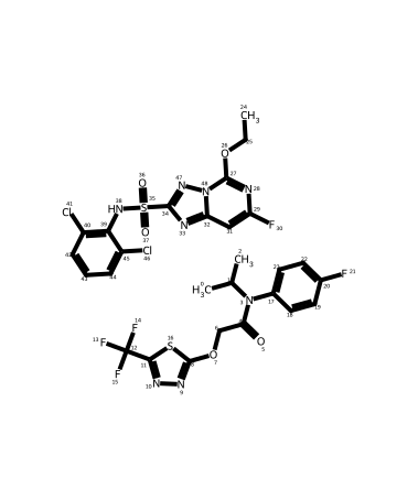 CC(C)N(C(=O)COc1nnc(C(F)(F)F)s1)c1ccc(F)cc1.CCOc1nc(F)cc2nc(S(=O)(=O)Nc3c(Cl)cccc3Cl)nn12